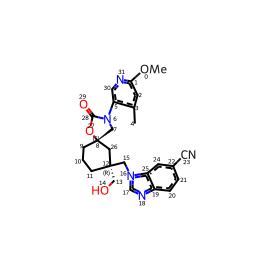 COc1cc(C)c(N2C[C@@]3(CCC[C@](CO)(Cn4cnc5ccc(C#N)cc54)C3)OC2=O)cn1